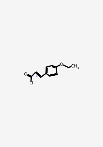 CCOc1ccc(/C=C/C(=O)Cl)cc1